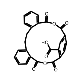 O=C1OC(=O)c2ccccc2CCc2ccccc2C(=O)OC(=O)c2ccc1cc2C(=O)O